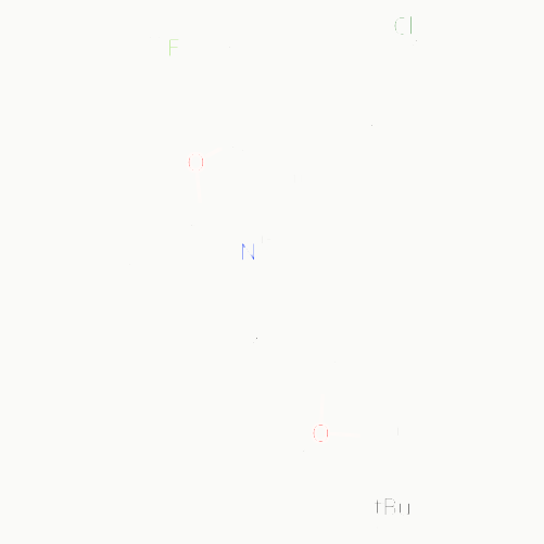 CC(C)(C)COCc1cccc(Oc2ccc(Cl)cc2F)n1